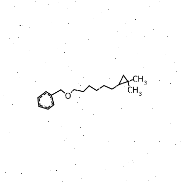 CC1(C)CC1CCCCCCOCc1ccccc1